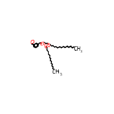 CCCCCCCCCCCCCCCCOCC(COCc1cccc(C=O)c1)OCCCCCCCCCCCCCCCC